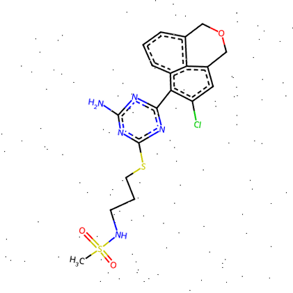 CS(=O)(=O)NCCCSc1nc(N)nc(-c2c(Cl)cc3c4c(cccc24)COC3)n1